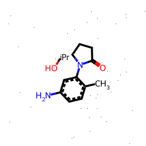 CC(C)O.Cc1ccc(N)cc1N1CCCC1=O